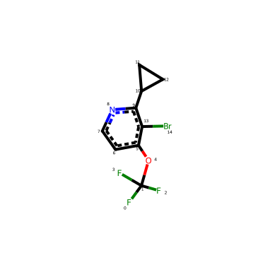 FC(F)(F)Oc1ccnc(C2CC2)c1Br